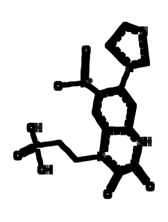 O=c1[nH]c2cc(-n3ccnc3)c([N+](=O)[O-])cc2n(CCP(=O)(O)O)c1=O